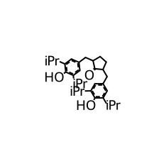 CC(C)c1cc(CC2CCC(Cc3cc(C(C)C)c(O)c(C(C)C)c3)C2=O)cc(C(C)C)c1O